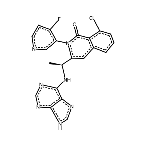 C[C@H](Nc1ncnc2[nH]cnc12)c1cc2cccc(Cl)c2c(=O)n1-c1cnccc1F